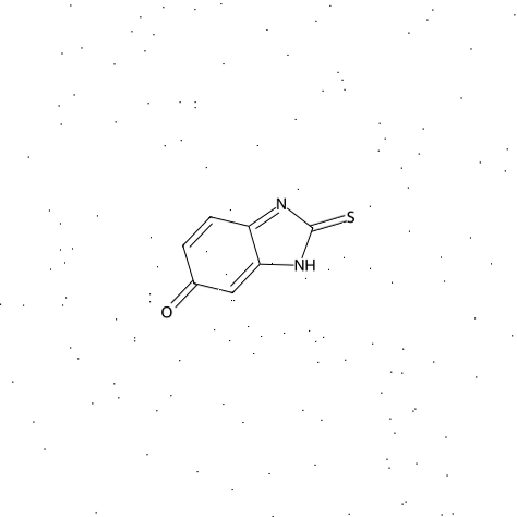 O=C1C=CC2=NC(=S)NC2=C1